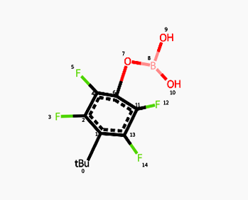 CC(C)(C)c1c(F)c(F)c(OB(O)O)c(F)c1F